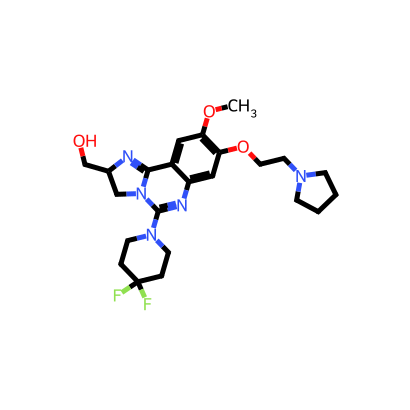 COc1cc2c(cc1OCCN1CCCC1)N=C(N1CCC(F)(F)CC1)N1CC(CO)N=C21